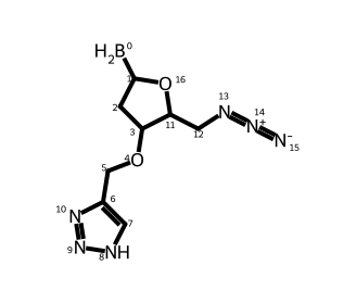 BC1CC(OCc2c[nH]nn2)C(CN=[N+]=[N-])O1